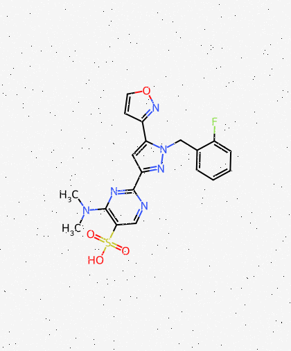 CN(C)c1nc(-c2cc(-c3ccon3)n(Cc3ccccc3F)n2)ncc1S(=O)(=O)O